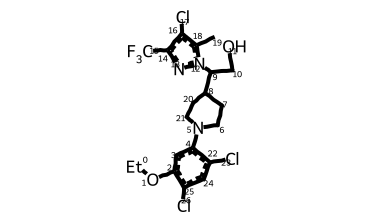 CCOc1cc(N2CCC(C(CO)n3nc(C(F)(F)F)c(Cl)c3C)CC2)c(Cl)cc1Cl